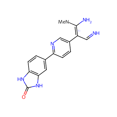 CN/C(N)=C(/C=N)c1ccc(-c2ccc3[nH]c(=O)[nH]c3c2)nc1